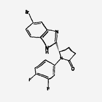 O=C1CC[C@@H](c2nc3cc(Br)ccc3[nH]2)N1c1ccc(F)c(F)c1